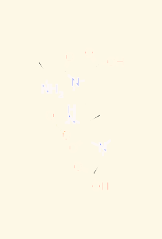 C[C@H](N)C(=O)N1CCC[C@H]1C(=O)O.C[C@H](NS(=O)(=O)Cc1ccccc1)C(=O)N1CCC[C@H]1C(=O)O